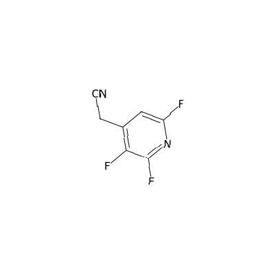 N#CCc1cc(F)nc(F)c1F